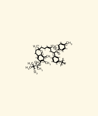 CC(=CCCC1(C)CCc2cc(O[Si](C)(C)C(C)(C)C)c(C)c(C)c2O1)CC(c1cccc(C(F)(F)F)c1)S(=O)(=O)c1ccc(C)cc1